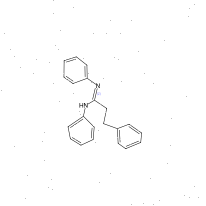 c1ccc(CC/C(=N/c2ccccc2)Nc2ccccc2)cc1